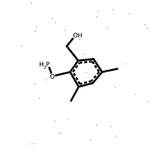 Cc1cc(C)c(OP)c(CO)c1